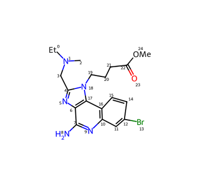 CCN(C)Cc1nc2c(N)nc3cc(Br)ccc3c2n1CCCC(=O)OC